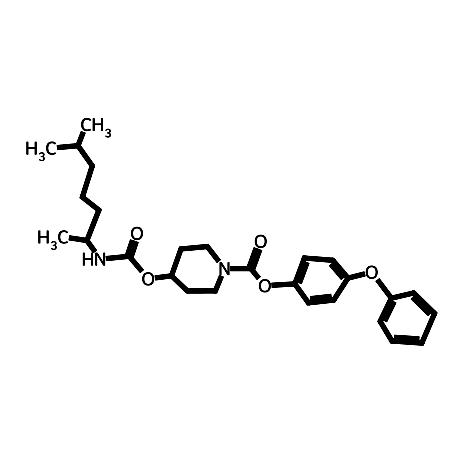 CC(C)CCCC(C)NC(=O)OC1CCN(C(=O)Oc2ccc(Oc3ccccc3)cc2)CC1